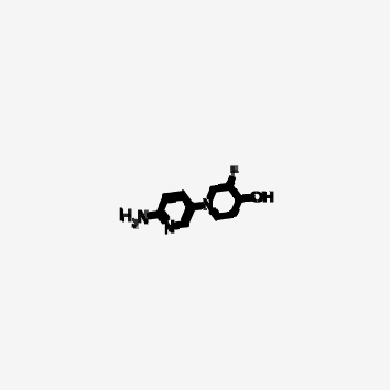 Nc1ccc(N2CCC(O)C(F)C2)cn1